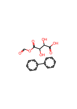 O=COC(=O)C(O)C(O)C(=O)O.c1ccc(-c2ccccc2)cc1